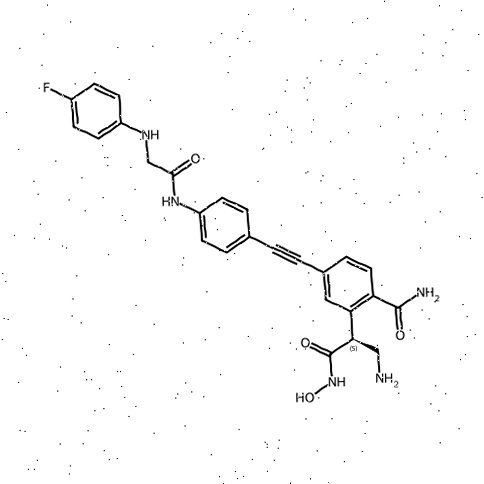 NC[C@@H](C(=O)NO)c1cc(C#Cc2ccc(NC(=O)CNc3ccc(F)cc3)cc2)ccc1C(N)=O